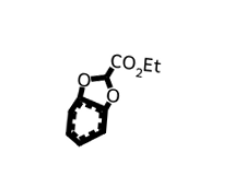 CCOC(=O)C1Oc2ccccc2O1